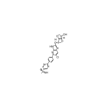 CS(=N)(=O)c1cnc(-c2ccc(-c3nc4[nH]c(O[C@@H]5CO[C@H]6[C@@H]5OC[C@H]6O)nc4cc3Cl)cc2)nc1